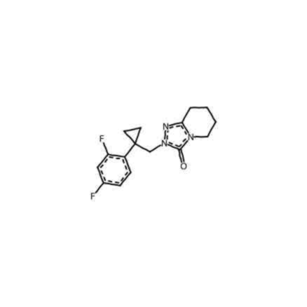 O=c1n(CC2(c3ccc(F)cc3F)CC2)nc2n1CCCC2